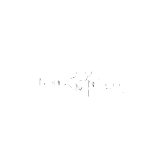 CCCCCCCCCCc1ccc(C(=O)NCCC(=O)O)nc1